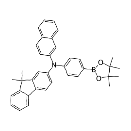 CC1(C)c2ccccc2-c2ccc(N(c3ccc(B4OC(C)(C)C(C)(C)O4)cc3)c3ccc4ccccc4c3)cc21